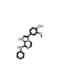 COc1cc(C2=CNC3C(Nc4ccccc4)=NC=CN23)ccc1O